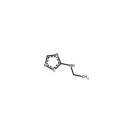 CCNc1ncns1